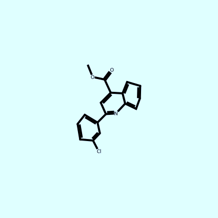 COC(=O)c1cc(-c2cccc(Cl)c2)nc2ccccc12